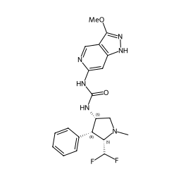 COc1n[nH]c2cc(NC(=O)N[C@@H]3CN(C)[C@H](C(F)F)[C@@H]3c3ccccc3)ncc12